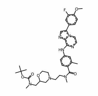 COc1ccc(-c2cnc3c(Nc4ccc(C(=O)N(C)CCN5CCOC(CN(C)C(=O)OC(C)(C)C)C5)c(C)c4)nccn23)cc1F